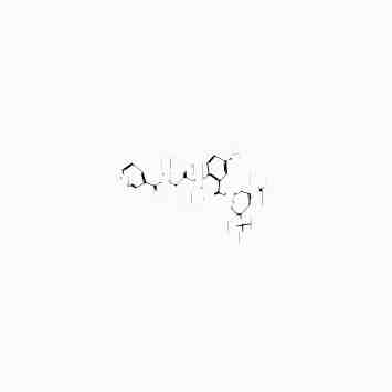 C=C(c1cc(Br)ccc1NC(=O)CNC(=O)c1cccnc1)N1C[C@H](C(F)(F)F)C[C@H](C(F)(F)F)C1